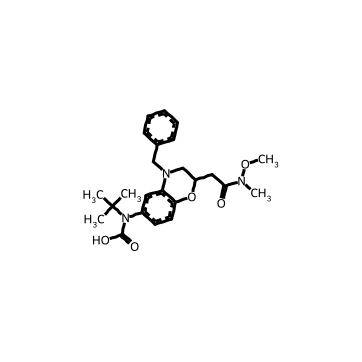 CON(C)C(=O)CC1CN(Cc2ccccc2)c2cc(N(C(=O)O)C(C)(C)C)ccc2O1